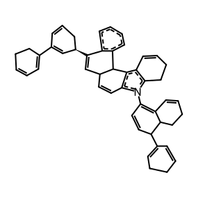 C1=CCCC(C2=C[C@H](C3=CC4C=Cc5c(c6c(n5C5=C7C=CCCC7C(C7=CCCC=C7)C=C5)CCC=C6)C4c4ccccc43)CC=C2)=C1